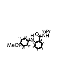 CCCNC(=O)c1ccccc1Nc1ccc(OC)cc1